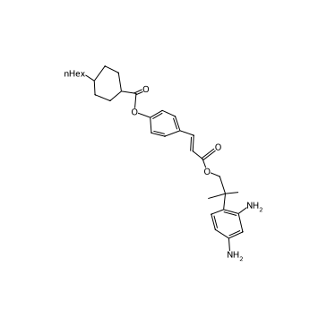 CCCCCCC1CCC(C(=O)Oc2ccc(/C=C/C(=O)OCC(C)(C)c3ccc(N)cc3N)cc2)CC1